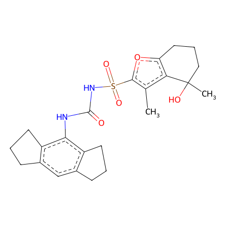 Cc1c(S(=O)(=O)NC(=O)Nc2c3c(cc4c2CCC4)CCC3)oc2c1C(C)(O)CCC2